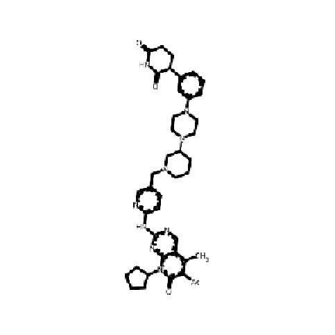 CC(=O)c1c(C)c2cnc(Nc3ccc(CN4CCC[C@H](N5CCN(c6cccc(C7CCC(=O)NC7=O)c6)CC5)C4)cn3)nc2n(C2CCCC2)c1=O